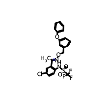 C/C(=N\OCc1cccc(Oc2ccccc2)c1)c1cc(Cl)ccc1NS(=O)(=O)C(F)(F)F